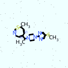 CSc1cnc(N2CCN(C(C)C3=C/C/N=C\SC(C)/C=C\3)CC2)nc1